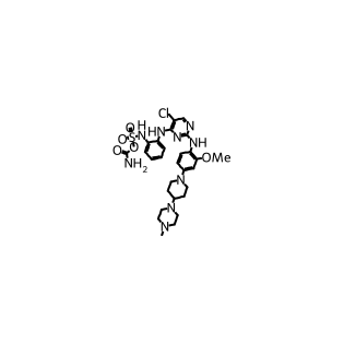 COc1cc(N2CCC(N3CCN(C)CC3)CC2)ccc1Nc1ncc(Cl)c(Nc2ccccc2NS(=O)(=O)OC(N)=O)n1